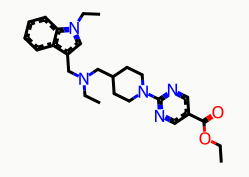 CCOC(=O)c1cnc(N2CCC(CN(CC)Cc3cn(CC)c4ccccc34)CC2)nc1